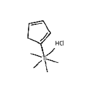 Cl.[CH3][Ti]([CH3])([CH3])([CH3])([CH3])[C]1=CC=CC1